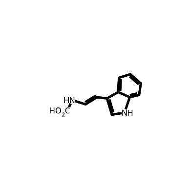 O=C(O)NC=Cc1c[nH]c2ccccc12